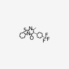 Cc1nc2sc3ccccc3n2c(=O)c1-c1ccc(C(F)(F)F)cc1